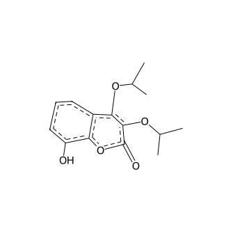 CC(C)Oc1c(OC(C)C)c2cccc(O)c2oc1=O